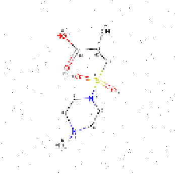 C[C@H](CS(=O)(=O)N1CCN(C)CC1)C(=O)O